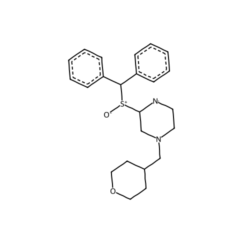 [O-][S+](C1CN(CC2CCOCC2)CC[N]1)C(c1ccccc1)c1ccccc1